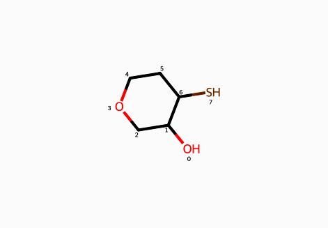 OC1COCCC1S